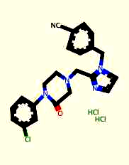 Cl.Cl.N#Cc1ccc(Cn2ccnc2CN2CCN(c3cccc(Cl)c3)C(=O)C2)cc1